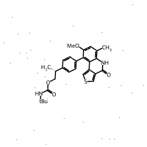 COc1cc(C)c2[nH]c(=O)c3cscc3c2c1-c1ccc([C@@H](C)COC(=O)NC(C)(C)C)cc1